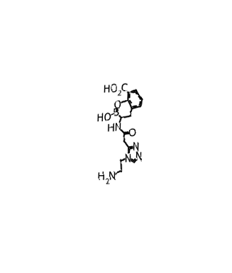 NCCn1cnnc1CC(=O)NC1Cc2cccc(C(=O)O)c2OB1O